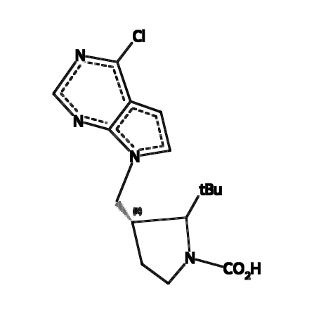 CC(C)(C)C1[C@@H](Cn2ccc3c(Cl)ncnc32)CCN1C(=O)O